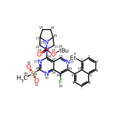 CCc1cccc2cccc(-c3ncc4c(N5CC6CCC(C5)N6C(=O)OC(C)(C)C)nc(S(C)(=O)=O)nc4c3F)c12